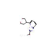 COC(=O)c1nc2cccc(C3CCOCC3)n2n1